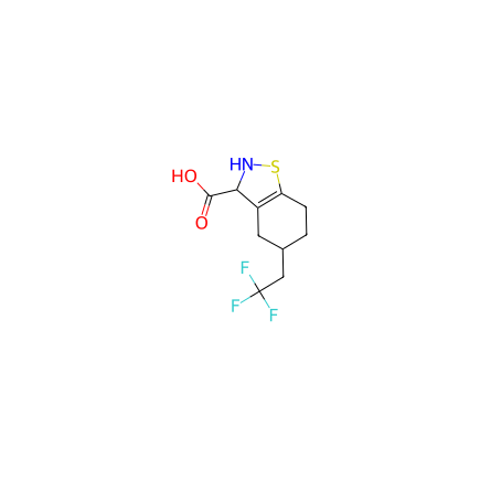 O=C(O)C1NSC2=C1CC(CC(F)(F)F)CC2